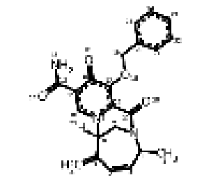 C=C1C=C[C@H](C)N2C[C@H]1n1cc(C(N)=O)c(=O)c(OCc3ccccc3)c1C2=O